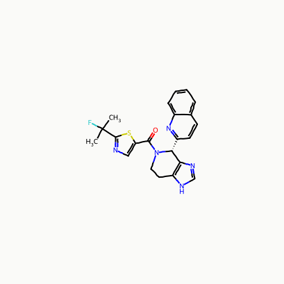 CC(C)(F)c1ncc(C(=O)N2CCc3[nH]cnc3[C@H]2c2ccc3ccccc3n2)s1